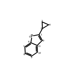 C1=C(C2CC2)[P]c2ccccc21